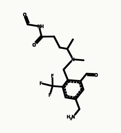 CC(CCC(=O)NC=O)N(C)Cc1c(C=O)cc(CN)cc1C(F)(F)F